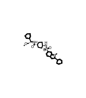 COC[C@@H](NC(=O)[C@H]1CC[C@H](NS(=O)(=O)c2ccc3cc(-c4ccccc4)n(C)c3c2)CC1)c1ccccc1